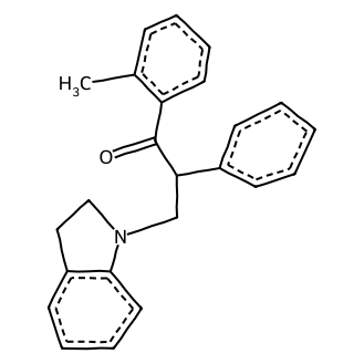 Cc1ccccc1C(=O)C(CN1CCc2ccccc21)c1ccccc1